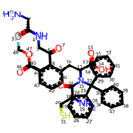 NCC(=O)NCC(=O)c1c(CC(C(=O)O)N(C(=O)C(N)CS)C(c2ccccc2)(c2ccccc2)c2ccccc2)cccc1C(=O)OCF